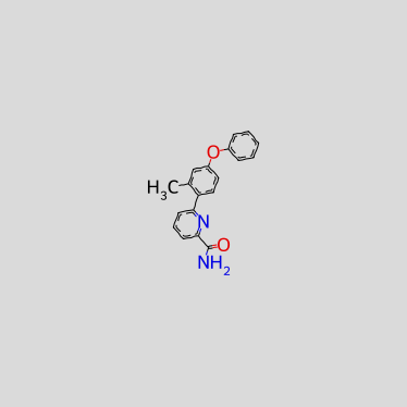 Cc1cc(Oc2ccccc2)ccc1-c1cccc(C(N)=O)n1